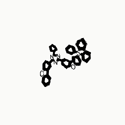 c1ccc(-c2nc(-c3ccc4oc5ccccc5c4c3)nc(-c3ccc4oc5ccc(S(c6ccccc6)(c6ccccc6)c6ccccc6)cc5c4c3)n2)cc1